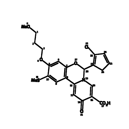 COCCCOc1cc2c(cc1SC)-c1cc(=O)c(C(=O)O)cn1C(C1=C(Cl)C=CC1)O2